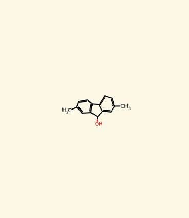 Cc1ccc2c(c1)C(O)c1cc(C)ccc1-2